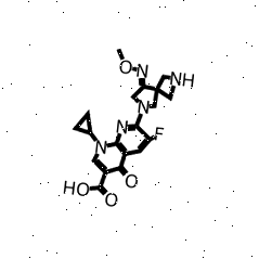 CO/N=C1\CN(c2nc3c(cc2F)c(=O)c(C(=O)O)cn3C2CC2)CC12CNC2